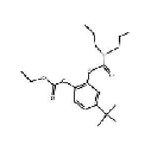 CCCN(CCC)C(=O)Oc1cc(C(C)(C)C)ccc1OC(=O)OCC